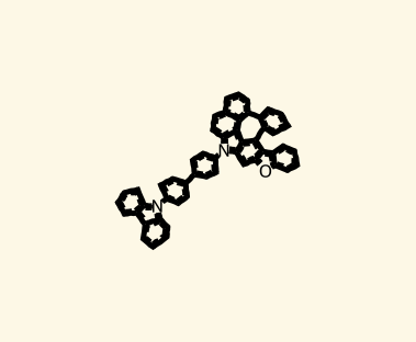 c1ccc2c(c1)-c1cccc3ccc4c(c13)c1c-2c2c(cc1n4-c1ccc(-c3ccc(-n4c5ccccc5c5ccccc54)cc3)cc1)oc1ccccc12